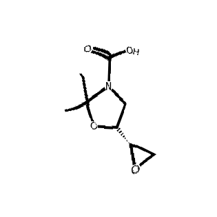 CC1(C)OC([C@@H]2CO2)CN1C(=O)O